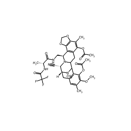 COc1c(C)cc2c(c1OC(C)=O)C1C3Cc4c(OC(C)=O)c(C)c5c(c4[C@H](CNC(=O)[C@@H](C)NC(=O)C(F)(F)F)N3[C@@H](C#N)[C@@H](C2)N1C)OCO5